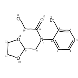 CCc1ccccc1N(CC1OCCO1)C(=O)CCl